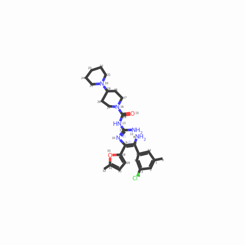 Cc1cc(Cl)cc(/C(N)=C(/N=C(\N)NC(=O)N2CCC(N3CCCCC3)CC2)c2ccc(C)o2)c1